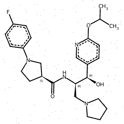 CC(C)Oc1ccc([C@@H](O)[C@@H](CN2CCCC2)NC(=O)[C@H]2CCN(c3ccc(F)cc3)C2)cn1